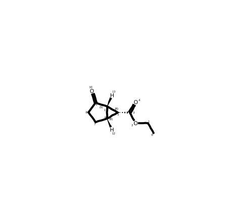 CCOC(=O)[C@@H]1[C@@H]2CCC(=O)[C@@H]21